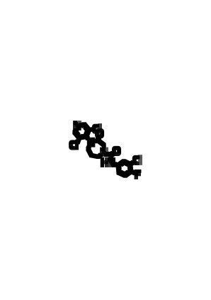 O=C(Nc1ccc(F)c(Cl)c1)N1CCCN(c2c(Cl)cncc2Cl)C(=O)C1